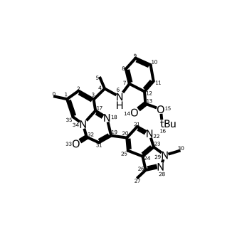 Cc1cc(C(C)Nc2ccccc2C(=O)OC(C)(C)C)c2nc(-c3cnc4c(c3)c(C)nn4C)cc(=O)n2c1